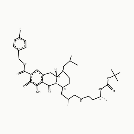 CC(C)CN1CC[C@@H](CC(C)CNCC[C@@H](C)NC(=O)OC(C)(C)C)N2C(=O)c3c(O)c(=O)c(C(=O)NCc4ccc(F)cc4)cn3C[C@H]12